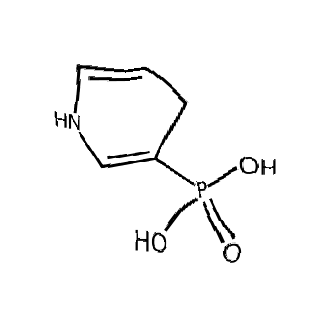 O=P(O)(O)C1=CNC=CC1